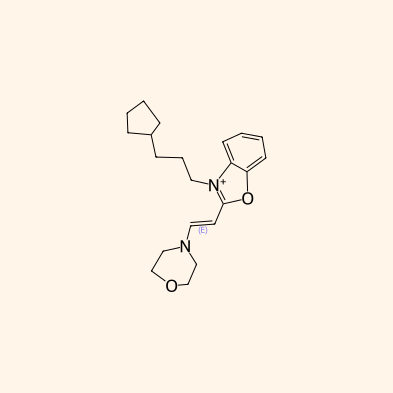 C(=C\N1CCOCC1)/c1oc2ccccc2[n+]1CCCC1CCCC1